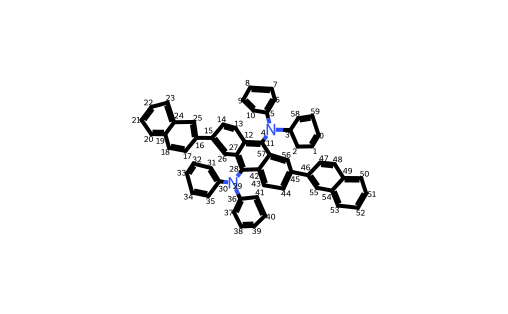 C1=CCC(N(c2ccccc2)c2c3ccc(-c4ccc5ccccc5c4)cc3c(N(c3ccccc3)c3ccccc3)c3ccc(-c4ccc5ccccc5c4)cc23)C=C1